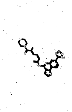 C=C(/C=C\C=C(/C)C(=O)N1CCOCC1)Nc1nc2cc(-c3nnn[nH]3)c#cc2c2sccc12